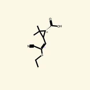 CCS/C(C#N)=C/C1[C@@H](C(=O)O)C1(C)C